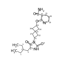 CCC(CC)CC1NC(=O)N(C2CC3(CC(Oc4ncccc4C(N)=O)C3)C2)C1=O